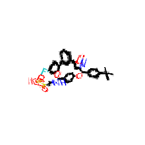 CC(C)(C)c1ccc(C(Oc2ccc(C(=O)NCCS(=O)(=O)O)cc2)c2cc(-c3cccc(-c4ccc(F)cc4)c3)on2)cc1